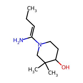 CC/C=C(\N)N1CCC(O)C(C)(C)C1